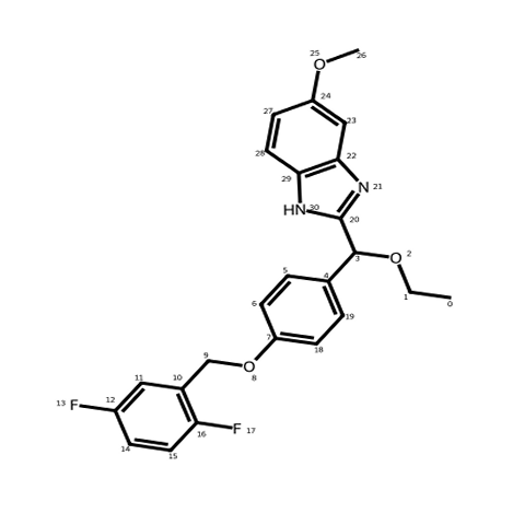 CCOC(c1ccc(OCc2cc(F)ccc2F)cc1)c1nc2cc(OC)ccc2[nH]1